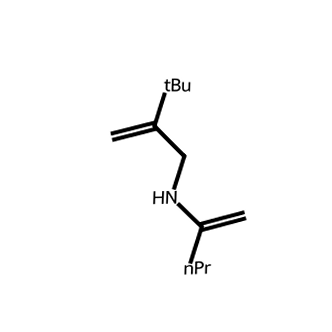 C=C(CCC)NCC(=C)C(C)(C)C